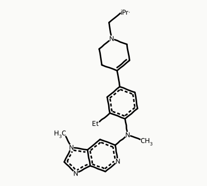 CCc1cc(C2=CCN(C[C](C)C)CC2)ccc1N(C)c1cc2c(cn1)ncn2C